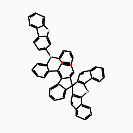 c1ccc(N(c2ccc3c(c2)sc2ccccc23)c2ccccc2-c2cccc3c2-c2ccccc2C32c3ccc4ccccc4c3Oc3c2ccc2ccccc32)cc1